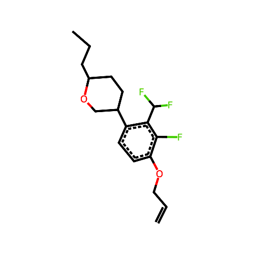 C=CCOc1ccc(C2CCC(CCC)OC2)c(C(F)F)c1F